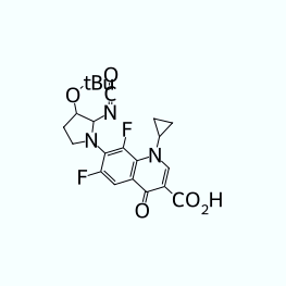 CC(C)(C)OC1CCN(c2c(F)cc3c(=O)c(C(=O)O)cn(C4CC4)c3c2F)C1N=C=O